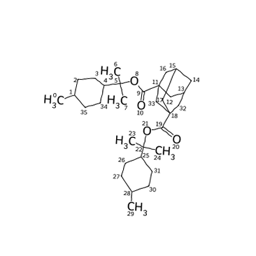 CC1CCC(C(C)(C)OC(=O)C23CC4CC(C2)CC(C(=O)OC(C)(C)C2CCC(C)CC2)(C4)C3)CC1